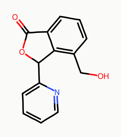 O=C1OC(c2ccccn2)c2c(CO)cccc21